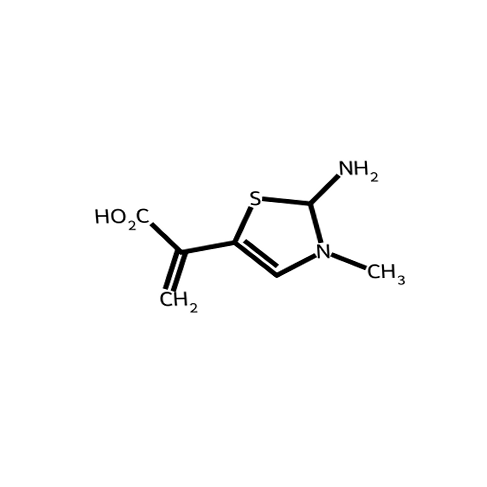 C=C(C(=O)O)C1=CN(C)C(N)S1